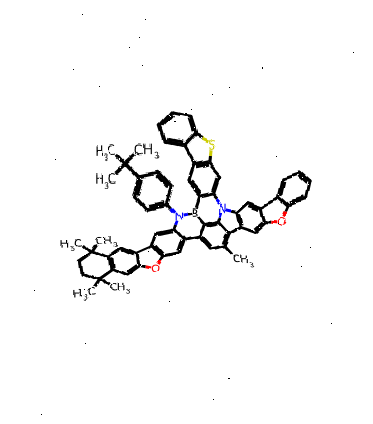 Cc1cc2c3c4c1c1cc5oc6ccccc6c5cc1n4-c1cc4sc5ccccc5c4cc1B3N(c1ccc(C(C)(C)C)cc1)c1cc3c(cc1-2)oc1cc2c(cc13)C(C)(C)CCC2(C)C